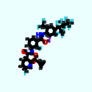 O=C(Nc1c(I)cc(C(F)(C(F)(F)F)C(F)(F)C(F)(F)F)cc1C(F)F)c1cccc(N(OC(=O)C2CC2)C(=O)c2ccc(F)nc2)c1F